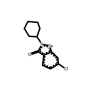 O=c1c2ccc(Cl)cc2[se]n1C1CCCCC1